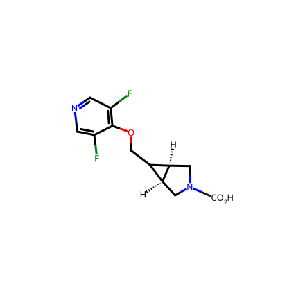 O=C(O)N1C[C@@H]2C(COc3c(F)cncc3F)[C@@H]2C1